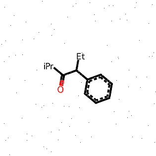 CCC(C(=O)C(C)C)c1ccccc1